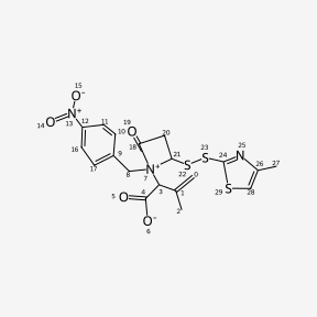 C=C(C)C(C(=O)[O-])[N+]1(Cc2ccc([N+](=O)[O-])cc2)C(=O)CC1SSc1nc(C)cs1